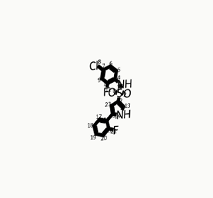 O=S(=O)(Nc1ccc(Cl)cc1F)c1c[nH]c(-c2ccccc2F)c1